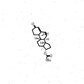 CC(C)(C)C(=O)O[C@H]1CC[C@H]2[C@@H]3C=CC4=CC(=O)CC[C@]4(CO)[C@H]3CC[C@]12C